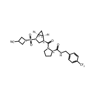 N#CC1CN(S(=O)(=O)N2C[C@H](C(=O)N3CCC[C@@H]3C(=O)NCc3ccc(C(F)(F)F)cc3)[C@@H]3C[C@@H]32)C1